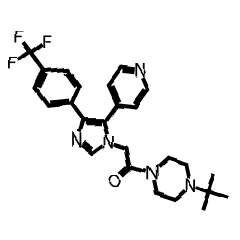 CC(C)(C)N1CCN(C(=O)Cn2cnc(-c3ccc(C(F)(F)F)cc3)c2-c2ccncc2)CC1